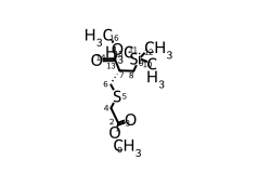 COC(=O)CSC[C@@H](C[Si](C)(C)C)C(=O)OC